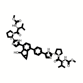 COC(=O)N[C@H](C(=O)N1CCC[C@H]1c1ncc(-c2ccc(-c3ccc(-c4cnc([C@H]5CCCN5C(=O)[C@H](NC(=O)OC)C(C)C)[nH]4)c4c3C3CC3C4O)cc2)[nH]1)C(C)C